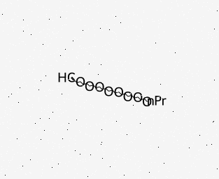 C#CCOCCOCCOCCOCCOCCOCCOCCOCCC